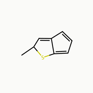 CC1C=C2C=CC=C2S1